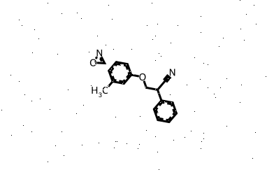 C1=NO1.Cc1cccc(OCC(C#N)c2ccccc2)c1